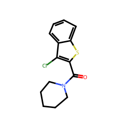 O=C(c1sc2ccccc2c1Cl)N1CCCCC1